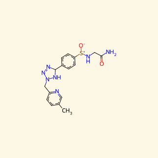 Cc1ccc(CN2N=NC(c3ccc([S+]([O-])NCC(N)=O)cc3)N2)nc1